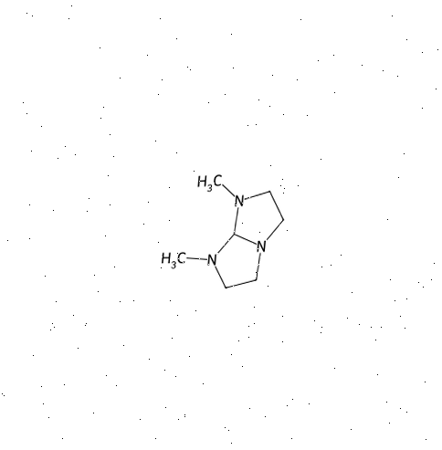 CN1CCN2CCN(C)C12